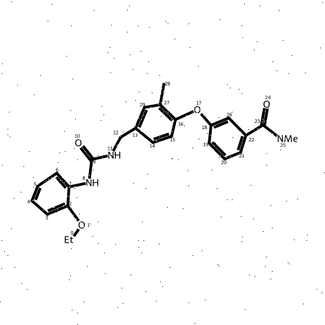 CCOc1ccccc1NC(=O)NCc1ccc(Oc2cccc(C(=O)NC)c2)c(C)c1